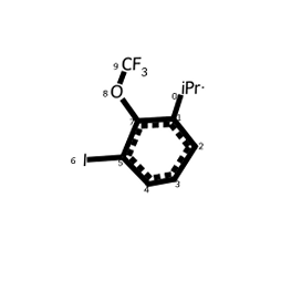 C[C](C)c1cccc(I)c1OC(F)(F)F